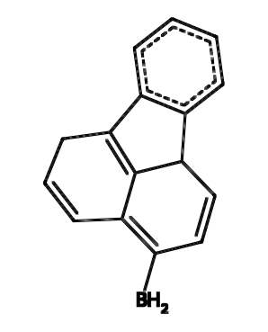 BC1=C2C=CCC3=C2C(C=C1)c1ccccc13